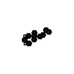 c1ccc2c(-c3ccc4ccc(-c5c6ccccc6c(-c6ccc7oc8ccc9oc%10ccccc%10c9c8c7c6)c6ccccc56)cc4c3)cccc2c1